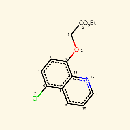 CCOC(=O)COc1ccc(Cl)c2cccnc12